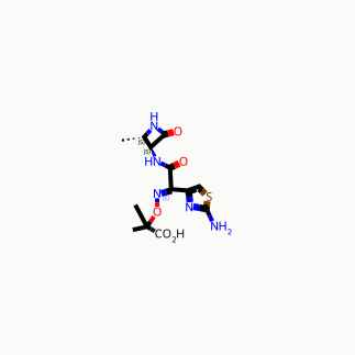 C[C@@H]1NC(=O)[C@H]1NC(=O)/C(=N/OC(C)(C)C(=O)O)c1csc(N)n1